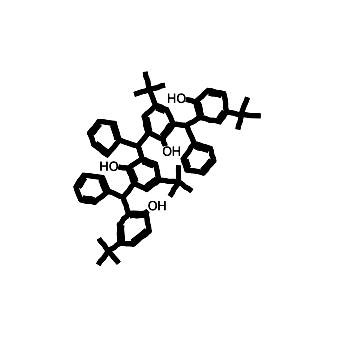 CC(C)(C)c1ccc(O)c(C(c2ccccc2)c2cc(C(C)(C)C)cc(C(c3ccccc3)c3cc(C(C)(C)C)cc(C(c4ccccc4)c4cc(C(C)(C)C)ccc4O)c3O)c2O)c1